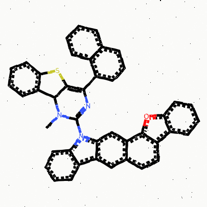 CN1C(n2c3ccccc3c3cc4ccc5c6ccccc6oc5c4cc32)=NC(c2cccc3ccccc23)=C2Sc3ccccc3C21